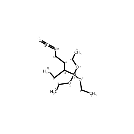 CCO[Si](OCC)(OCC)C(CC)CCN=C=O